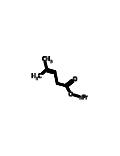 CCCOC(=O)CC=C(C)C